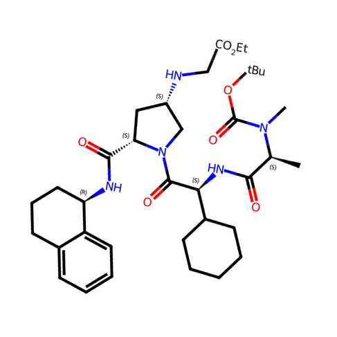 CCOC(=O)CN[C@H]1C[C@@H](C(=O)N[C@@H]2CCCc3ccccc32)N(C(=O)[C@@H](NC(=O)[C@H](C)N(C)C(=O)OC(C)(C)C)C2CCCCC2)C1